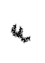 CC(=O)O[C@H]1C[C@]2(O)C(COC(=O)[C@H](OC(=O)CC(C)C)C(C)C)=CO[C@@H](OC(=O)CC(C)C)[C@@H]2[C@@]1(O)COC(=O)[C@H](OC(=O)CC(C)C)C(C)C